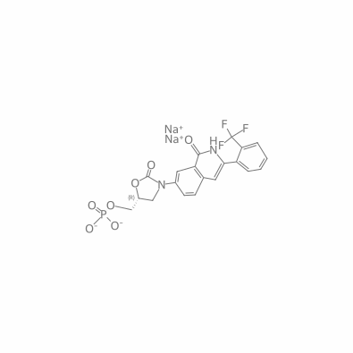 O=C1O[C@@H](COP(=O)([O-])[O-])CN1c1ccc2cc(-c3ccccc3C(F)(F)F)[nH]c(=O)c2c1.[Na+].[Na+]